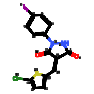 O=C1NN(c2ccc(I)cc2)C(=O)/C1=C\c1ccc(Cl)s1